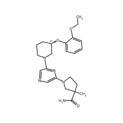 CCOc1ccccc1O[C@@H]1CCCN(c2cncc(N3CCC(C)(C(N)=O)C3)n2)C1